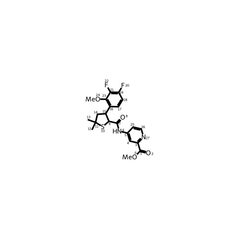 COC(=O)c1cc(NC(=O)C2SC(C)(C)CC2c2ccc(F)c(F)c2OC)ccn1